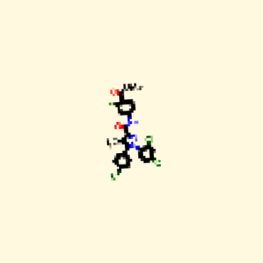 COC(=O)c1ccc(NC(=O)c2nn(-c3ccc(Cl)cc3Cl)c(-c3ccc(Cl)cc3)c2C)cc1F